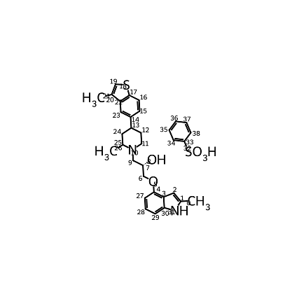 Cc1cc2c(OC[C@@H](O)CN3CCC(c4ccc5scc(C)c5c4)CC3C)cccc2[nH]1.O=S(=O)(O)c1ccccc1